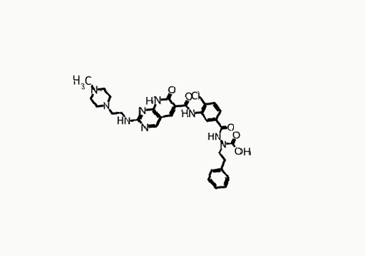 CN1CCN(CCNc2ncc3cc(C(=O)Nc4cc(C(=O)NN(CCc5ccccc5)C(=O)O)ccc4Cl)c(=O)[nH]c3n2)CC1